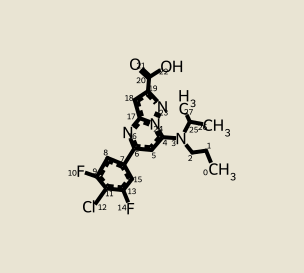 CCCN(c1cc(-c2cc(F)c(Cl)c(F)c2)nc2cc(C(=O)O)nn12)C(C)C